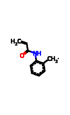 [CH2]c1ccccc1NC(=O)C=C